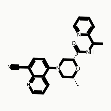 CC(NC(=O)[C@H]1CN(c2ccc(C#N)c3ncccc23)C[C@@H](C)O1)c1ccccn1